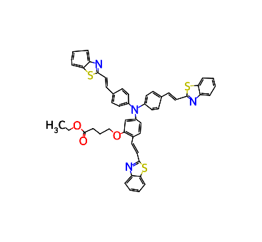 CCOC(=O)CCCOc1cc(N(c2ccc(C=Cc3nc4ccccc4s3)cc2)c2ccc(C=Cc3nc4ccccc4s3)cc2)ccc1C=Cc1nc2ccccc2s1